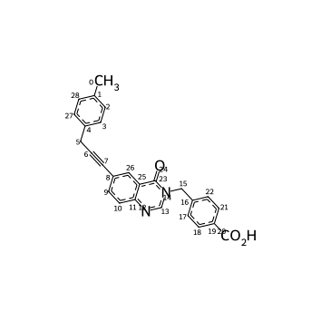 Cc1ccc(CC#Cc2ccc3ncn(Cc4ccc(C(=O)O)cc4)c(=O)c3c2)cc1